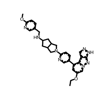 CCOc1cc(-c2ccc(N3CC4CC(NCc5ccc(OC)nc5)CC4C3)nc2)c2c3cn[nH]c3nn2c1